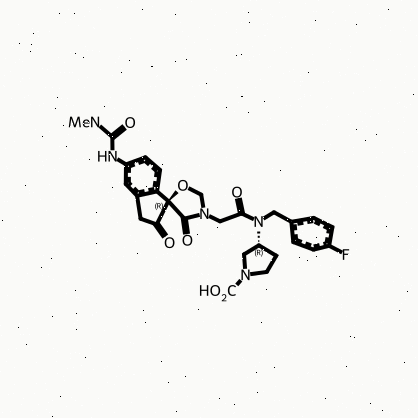 CNC(=O)Nc1ccc2c(c1)CC(=O)[C@]21OCN(CC(=O)N(Cc2ccc(F)cc2)[C@@H]2CCN(C(=O)O)C2)C1=O